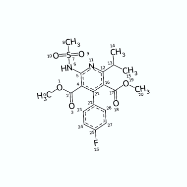 COC(=O)c1c(NS(C)(=O)=O)nc(C(C)C)c(C(=O)OC)c1-c1ccc(F)cc1